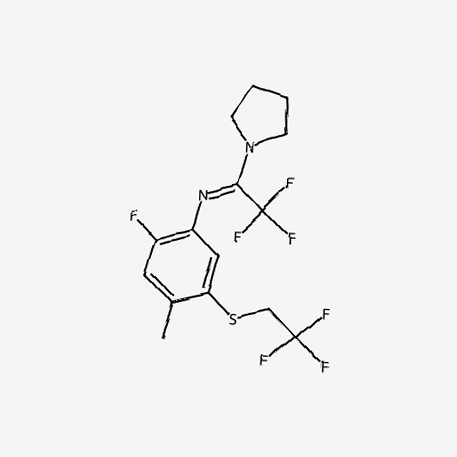 Cc1cc(F)c(/N=C(/N2CCCC2)C(F)(F)F)cc1SCC(F)(F)F